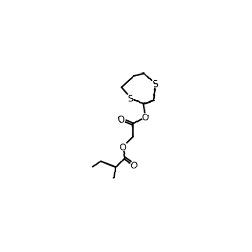 CCC(C)C(=O)OCC(=O)OC1CSCCCS1